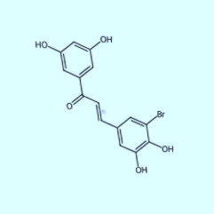 O=C(/C=C/c1cc(O)c(O)c(Br)c1)c1cc(O)cc(O)c1